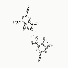 Cc1cc(C#N)cc(C(=O)OCCOC(=O)c2cc(C#N)cc(C)c2N)c1N